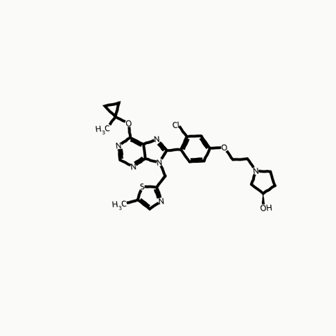 Cc1cnc(Cn2c(-c3ccc(OCCN4CC[C@@H](O)C4)cc3Cl)nc3c(OC4(C)CC4)ncnc32)s1